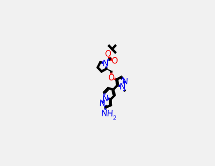 Cn1ncc(OC[C@H]2CCCN2C(=O)OC(C)(C)C)c1-c1ccn2nc(N)cc2c1